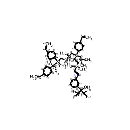 C=Cc1ccc([Si](CC[Si](C)(C)/C=C/c2cccc(C(O)(C(F)(F)F)C(F)(F)F)c2)(C[Si](C)(C)C)C[Si](C)(C)[SiH](C)C[Si](C)(c2ccc(C=C)cc2)[Si](C)(C)c2ccc(C=C)cc2)cc1